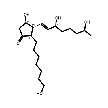 CC(O)CCC[C@H](O)/C=C/[C@H]1[C@H](O)CC(=O)[C@@H]1CCCCCCCO